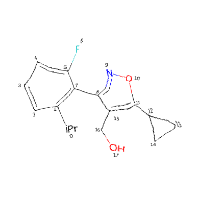 CC(C)c1cccc(F)c1-c1noc(C2CC2)c1CO